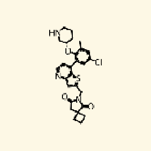 Cc1cc(Cl)cc(-c2ccnc3cc(CN4C(=O)CC5(CCC5)C4=O)sc23)c1O[C@H]1CCCNC1